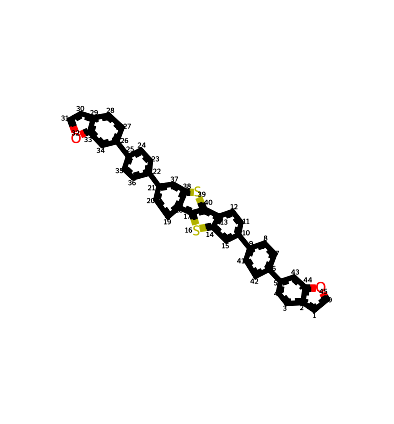 c1cc2ccc(-c3ccc(-c4ccc5c(c4)sc4c6ccc(-c7ccc(-c8ccc9ccoc9c8)cc7)cc6sc54)cc3)cc2o1